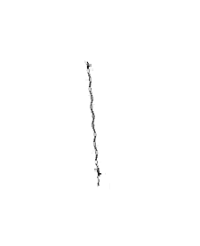 CCCCC(=O)NCCOCCOCCOCCOCCOCCOCCOCCOCCOCCOCCOCNC